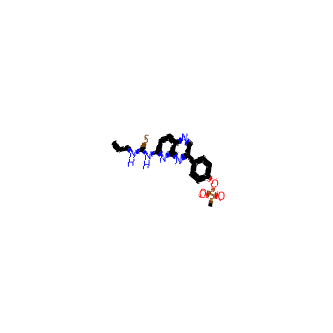 C=CCNC(=S)Nc1ccc2ncc(-c3ccc(OS(C)(=O)=O)cc3)nc2n1